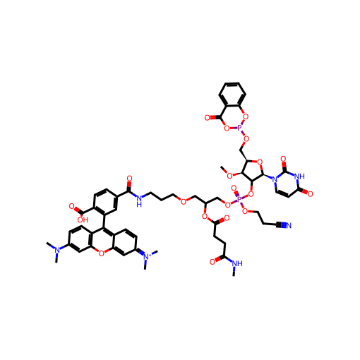 CNC(=O)CCC(=O)OC(COCCCNC(=O)c1ccc(C(=O)O)c(-c2c3ccc(=[N+](C)C)cc-3oc3cc(N(C)C)ccc23)c1)COP(=O)(OCCC#N)OC1[C@@H](OC)[C@@H](COP2OC(=O)c3ccccc3O2)O[C@H]1n1ccc(=O)[nH]c1=O